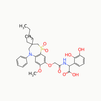 CCCCC1(CC)CN(c2ccccc2)c2cc(OC)c(OCC(=O)NC(C(=O)O)c3cccc(O)c3O)cc2S(=O)(=O)C1